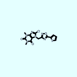 Cn1c(=O)c2c(nc(Cl)n2Cc2noc(-c3cccs3)n2)n(C)c1=O